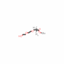 CC(C)(C)OC(=O)C(C)(C)COCCOCCO